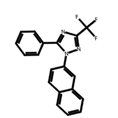 FC(F)(F)c1nc(-c2ccccc2)n(-c2ccc3ccccc3c2)n1